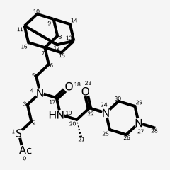 CC(=O)SCCN(CCC12CC3CC(CC(C3)C1)C2)C(=O)N[C@@H](C)C(=O)N1CCN(C)CC1